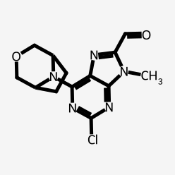 Cn1c(C=O)nc2c(N3C4CCC3COC4)nc(Cl)nc21